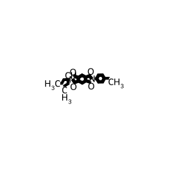 CCCC(C)(CCC)n1c(=O)c2cc3c(=O)n(-c4ccc(CC)cc4)c(=O)c3cc2c1=O